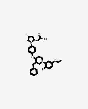 CCOc1ccc(F)c(N2CCC(Oc3ccc(N4C[C@H](C)C[C@@H]4CC(=O)O)cc3)C(Cc3ccccc3)C2)c1